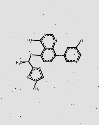 C[C@@H](Oc1ccc(-c2cncc(Cl)c2)c2ncnc(N)c12)c1ncn(C)n1